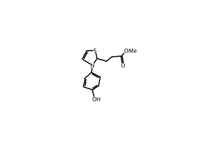 COC(=O)CCC1SC=CN1c1ccc(O)cc1